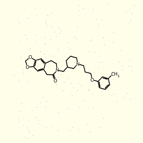 Cc1cccc(OCCCN2CCCC(CN3CCc4cc5c(cc4CC3=O)OCO5)C2)c1